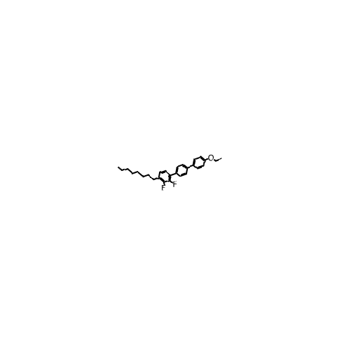 CCCCCCCCc1ccc(-c2ccc(-c3ccc(OCC)cc3)cc2)c(F)c1F